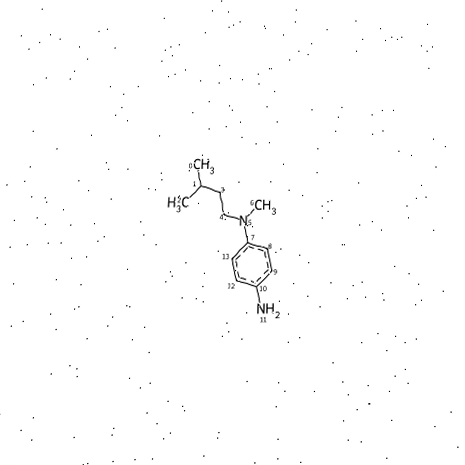 CC(C)CCN(C)c1ccc(N)cc1